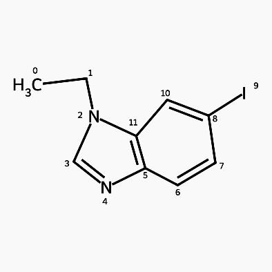 CCn1cnc2ccc(I)cc21